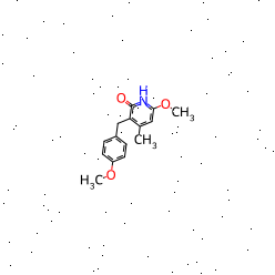 COc1ccc(Cc2c(C)cc(OC)[nH]c2=O)cc1